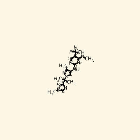 CNc1nc(Nc2cn(C(C)(C)c3ncn(C)n3)nc2C)ncc1C(F)(F)F